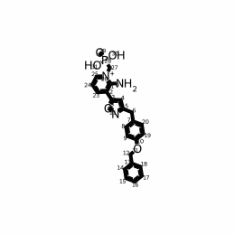 Nc1c(-c2cc(Cc3ccc(OCc4ccccc4)cc3)no2)ccc[n+]1CP(=O)(O)O